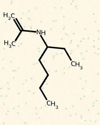 C=C(C)NC(CC)CCCC